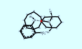 CC(=O)N(c1ccccc1[N+](=O)[O-])[C@H]1C[C@H]2CCC[C@@H](C1)N2C1CCCCCCC1